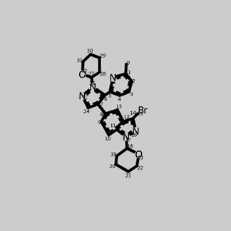 Cc1cccc(-c2c(-c3ccc4c(c3)c(Br)nn4C3CCCCO3)cnn2C2CCCCO2)n1